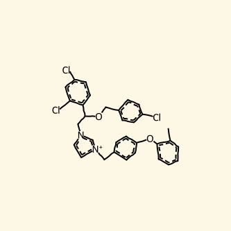 Cc1ccccc1Oc1ccc(C[n+]2ccn(CC(OCc3ccc(Cl)cc3)c3ccc(Cl)cc3Cl)c2)cc1